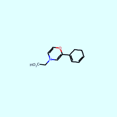 O=C(O)CN1C=COC(C2=CC=CCC2)=C1